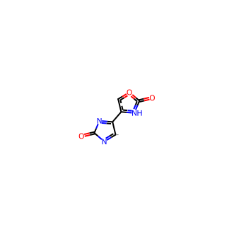 O=C1N=[C]C(c2coc(=O)[nH]2)=N1